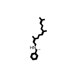 CC(C)=CCCC(C)=CCCC(C)=CCN[C@H](C)c1ccccc1